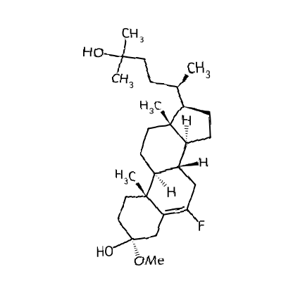 CO[C@]1(O)CC[C@@]2(C)C(=C(F)C[C@H]3[C@@H]4CC[C@H]([C@H](C)CCC(C)(C)O)[C@@]4(C)CC[C@@H]32)C1